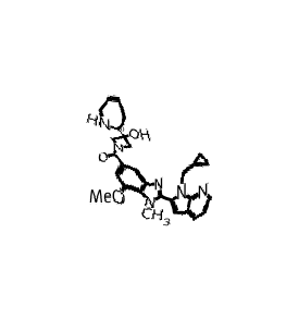 COc1cc(C(=O)N2CC(O)([C@@H]3CCCCN3)C2)cc2nc(-c3cc4cccnc4n3CC3CC3)n(C)c12